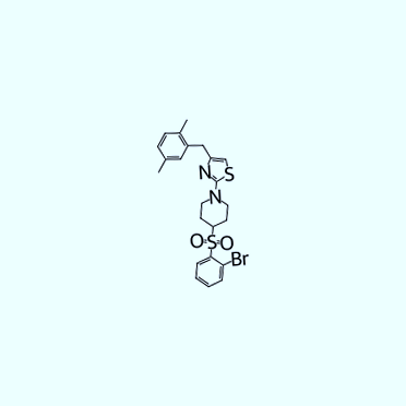 Cc1ccc(C)c(Cc2csc(N3CCC(S(=O)(=O)c4ccccc4Br)CC3)n2)c1